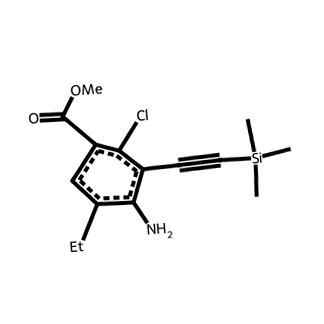 CCc1cc(C(=O)OC)c(Cl)c(C#C[Si](C)(C)C)c1N